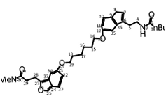 CCCCC(=O)NCCC1=CCc2ccc(OCCCCCCOc3ccc4coc(CCC(=O)NC)c4c3)cc21